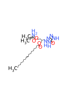 CCCCCCCCC=CCCCCCCCC(=O)OCC(CCOC(=O)[C@@H](N)[C@@H](C)CC)CNc1nc2nc[nH]c2c(=O)[nH]1